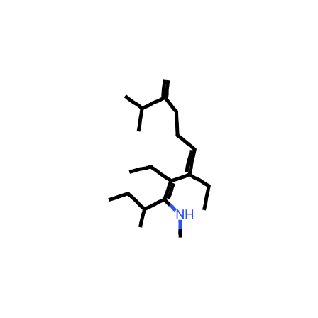 C=C(CC/C=C(CC)\C(CC)=C(/NC)C(C)CC)C(C)C